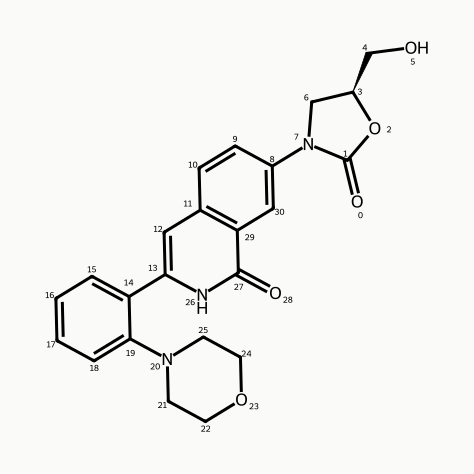 O=C1O[C@H](CO)CN1c1ccc2cc(-c3ccccc3N3CCOCC3)[nH]c(=O)c2c1